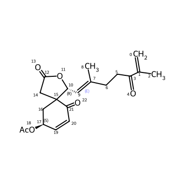 C=C(C)C(=O)CC/C(C)=C/[C@H]1OC(=O)CC12C[C@H](OC(C)=O)C=CC2=O